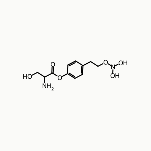 NC(CO)C(=O)Oc1ccc(CCON(O)O)cc1